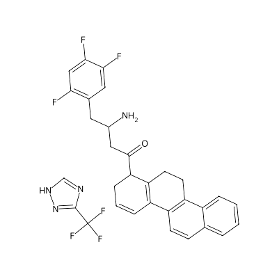 FC(F)(F)c1nc[nH]n1.NC(CC(=O)C1CC=CC2=C1CCc1c2ccc2ccccc12)Cc1cc(F)c(F)cc1F